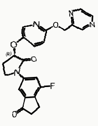 O=C1CCc2c(F)cc(N3CC[C@@H](Oc4ccc(OCc5cnccn5)nc4)C3=O)cc21